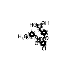 COc1cccc(/C=N/NC(=O)c2cc(Cl)ccc2NC(=O)c2cccc(CN(CCO)CCO)c2)c1